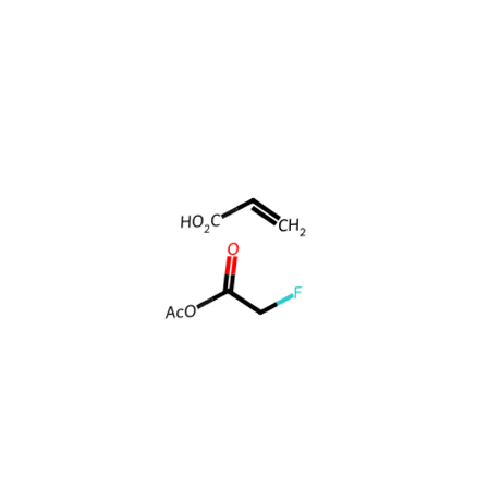 C=CC(=O)O.CC(=O)OC(=O)CF